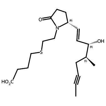 CC#CC[C@H](C)[C@@H](O)C=C[C@H]1CCC(=O)N1CCSCCCC(=O)O